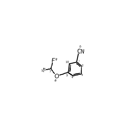 N#Cc1cc[c]c(OC(F)F)c1